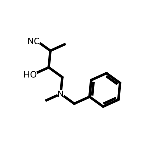 CC(C#N)C(O)CN(C)Cc1ccccc1